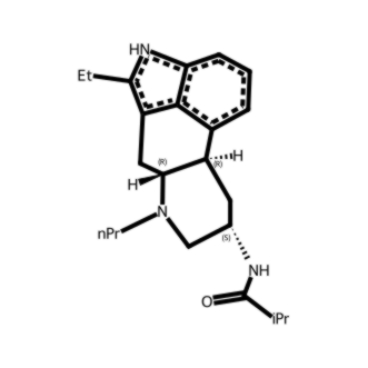 CCCN1C[C@@H](NC(=O)C(C)C)C[C@@H]2c3cccc4[nH]c(CC)c(c34)C[C@H]21